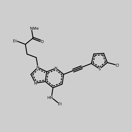 CCNc1cc(C#Cc2ccc(Cl)s2)nc2c1ncn2CCC(CC)C(=O)NC